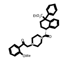 CCOC(=O)C1(c2ccccc2)CC[C@@H](C(=O)N2CCN(CC(=O)c3ccccc3OC)CC2)c2ccccc21